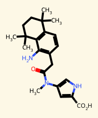 CN(C(=O)Cc1ccc2c(c1N)C(C)(C)CCC2(C)C)c1c[nH]c(C(=O)O)c1